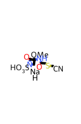 COC1(NC(=O)CSCC#N)CN(S(=O)(=O)O)C1=O.[NaH]